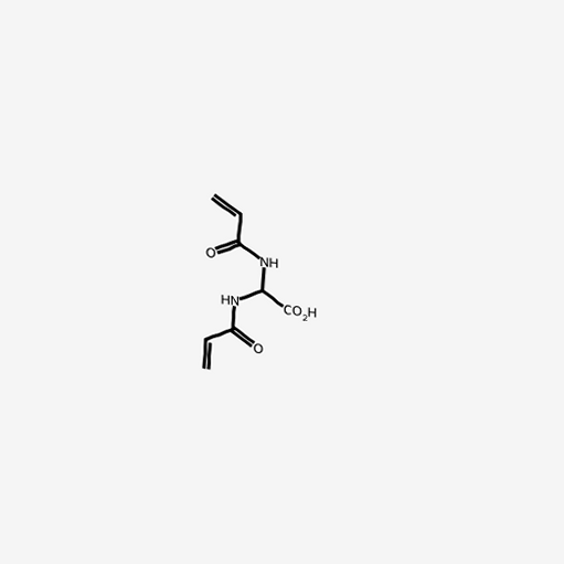 C=CC(=O)NC(NC(=O)C=C)C(=O)O